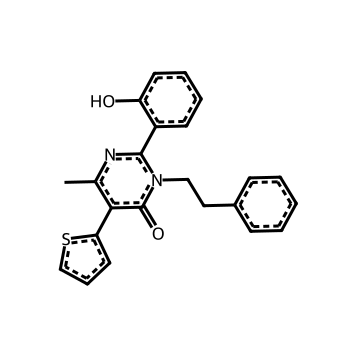 Cc1nc(-c2ccccc2O)n(CCc2ccccc2)c(=O)c1-c1cccs1